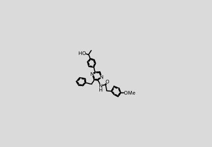 COc1ccc(CC(=O)Nc2ncc(-c3ccc(C(C)O)cc3)nc2Cc2ccccc2)cc1